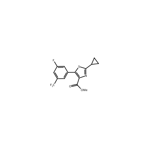 COC(=O)c1nc(C2CC2)sc1-c1cc(F)cc(C(F)(F)F)c1